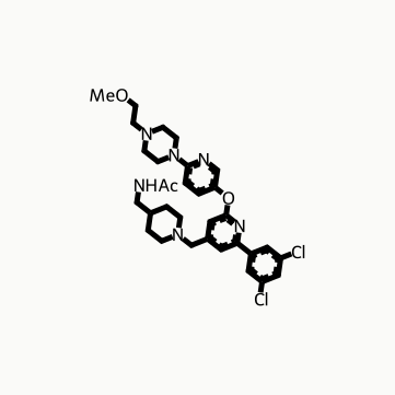 COCCN1CCN(c2ccc(Oc3cc(CN4CCC(CNC(C)=O)CC4)cc(-c4cc(Cl)cc(Cl)c4)n3)cn2)CC1